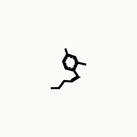 CCC/C=[C]\c1ccc(C)cc1C